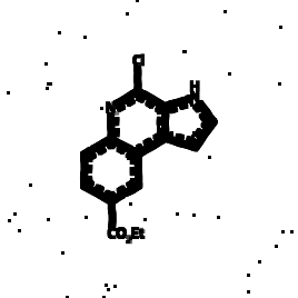 CCOC(=O)c1ccc2nc(Cl)c3[nH]ccc3c2c1